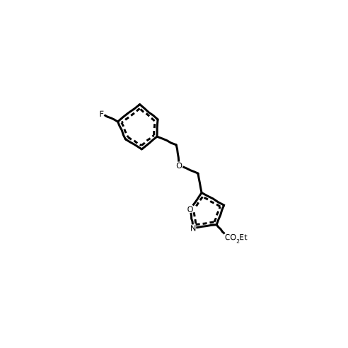 CCOC(=O)c1cc(COCc2ccc(F)cc2)on1